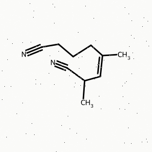 CC(=CC(C)C#N)CCCC#N